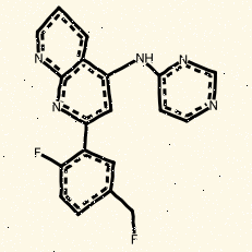 FCc1ccc(F)c(-c2cc(Nc3ccncn3)c3cccnc3n2)c1